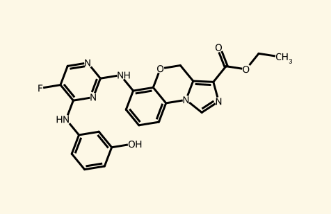 CCOC(=O)c1ncn2c1COc1c(Nc3ncc(F)c(Nc4cccc(O)c4)n3)cccc1-2